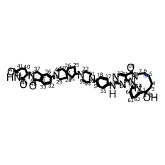 C[C@@]1(O)CC/C=C\Cn2c(=O)c3cnc(Nc4ccc(N5CCN(C6CCC7(CCN(c8ccc9c(c8)CN(C8CCC(=O)NC8=O)C9=O)CC7)C6)CC5)cc4)nc3n2-c2cccc1n2